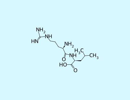 CC(C)C[C@H](NC(=O)[C@H](N)CCCNC(=N)N)C(=O)O